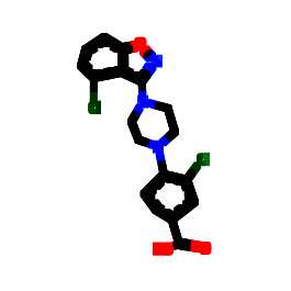 O=C(O)c1ccc(N2CCN(c3noc4cccc(Cl)c34)CC2)c(Cl)c1